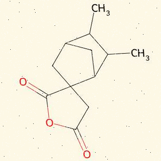 CC1C2CC(C1C)C1(CC(=O)OC1=O)C2